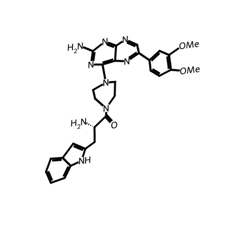 COc1ccc(-c2cnc3nc(N)nc(N4CCN(C(=O)[C@@H](N)Cc5cc6ccccc6[nH]5)CC4)c3n2)cc1OC